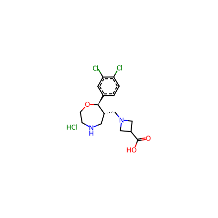 Cl.O=C(O)C1CN(C[C@@H]2CNCCO[C@H]2c2ccc(Cl)c(Cl)c2)C1